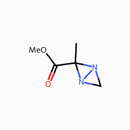 COC(=O)C1(C)N2CN21